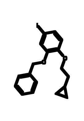 Ic1ccc(OCCC2CC2)c(OCc2ccccc2)c1